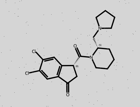 O=C1C[C@@H](C(=O)N2CCCC[C@H]2CN2CCCC2)c2cc(Cl)c(Cl)cc21